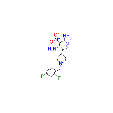 Nc1ncc(C2CCN(Cc3ccc(F)cc3F)CC2)c(N)c1[N+](=O)[O-]